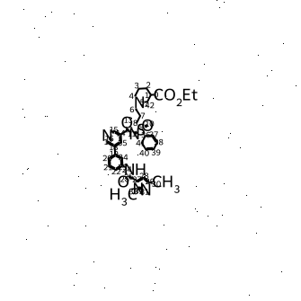 CCOC(=O)C1CCCN(CCC[S@@](=O)(=NC(=O)c2cncc(-c3cccc(NC(=O)c4cc(C)nn4C)c3)c2)C2C=CC=CC2)C1